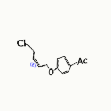 CC(=O)c1ccc(OC/C=C\CCl)cc1